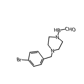 O=CBN1CCN(Cc2ccc(Br)cc2)CC1